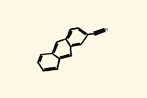 N#Cc1ccc2cc3ccc[c]c3cc2c1